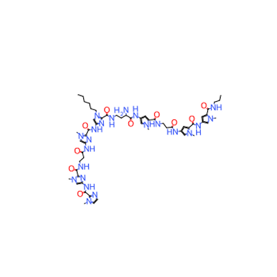 CCCCCCn1cc(NC(=O)c2nc(NC(=O)CCNC(=O)c3nc(NC(=O)c4nccn4C)cn3C)cn2C)nc1C(=O)NCC[C@@H](N)C(=O)Nc1cc(C(=O)NCCC(=O)Nc2cc(C(=O)Nc3cc(C(=O)NCCC)n(C)c3)n(C)c2)n(C)c1